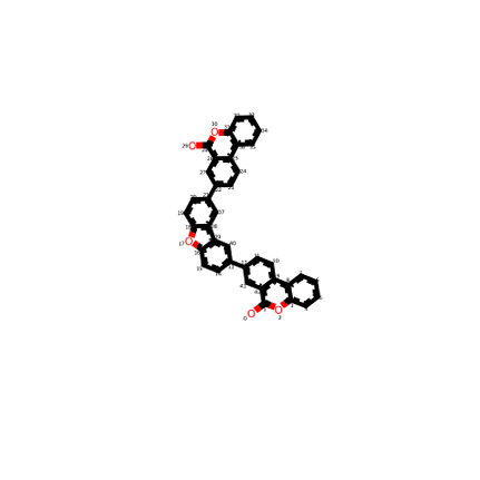 O=c1oc2ccccc2c2ccc(-c3ccc4oc5ccc(-c6ccc7c(c6)c(=O)oc6ccccc67)cc5c4c3)cc12